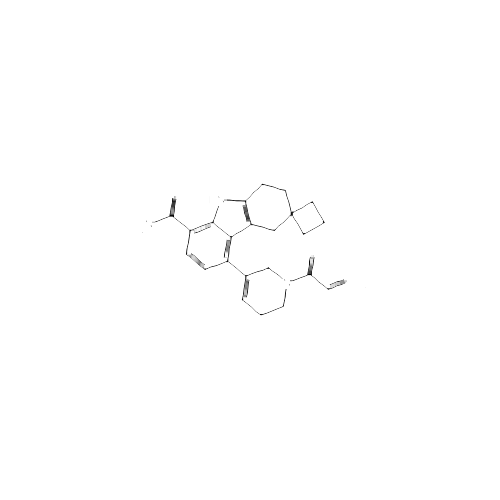 C=CC(=O)N1CCC=C(c2ccc(C(N)=O)c3[nH]c4c(c23)CC2(CCC2)CC4)C1